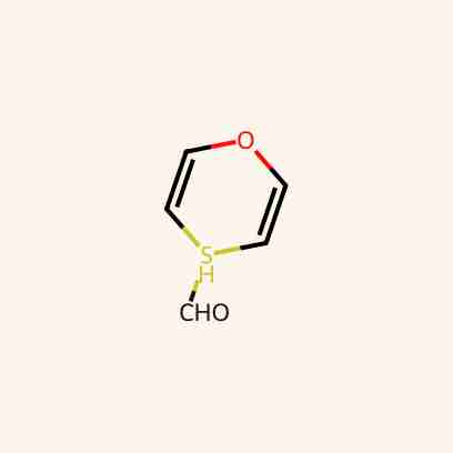 O=C[SH]1C=COC=C1